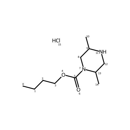 CCCCOC(=O)N1CC(C)NCC1C.Cl